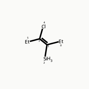 CCC([SiH3])=C(Cl)CC